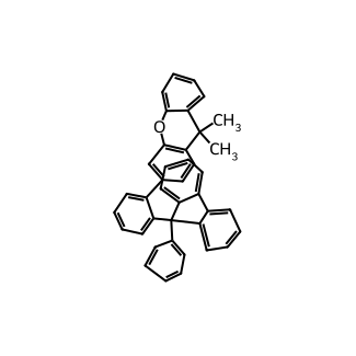 CC1(C)c2ccccc2Oc2cc(-c3ccccc3C3(c4ccccc4)c4ccccc4-c4ccccc43)ccc21